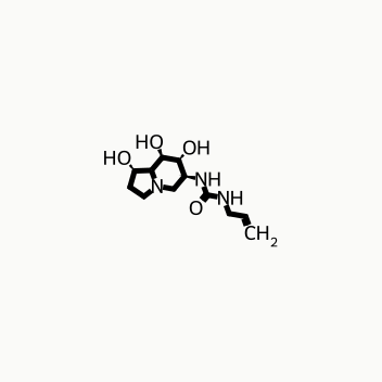 C=CCNC(=O)N[C@H]1CN2CC[C@H](O)C2[C@@H](O)[C@@H]1O